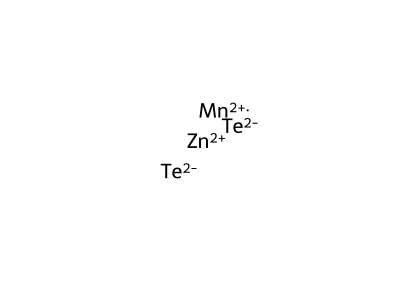 [Mn+2].[Te-2].[Te-2].[Zn+2]